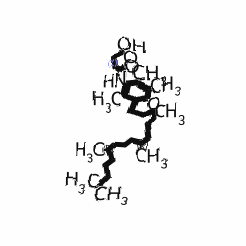 Cc1c(C)c2c(c(C)c1NC(=O)/C=C\C(=O)O)CC[C@@](C)(CCC[C@H](C)CCC[C@H](C)CCCC(C)C)O2